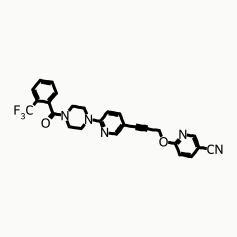 N#Cc1ccc(OCC#Cc2ccc(N3CCN(C(=O)c4ccccc4C(F)(F)F)CC3)nc2)nc1